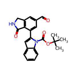 CC(C)(C)OC(=O)n1c(-c2cc(C=O)cc3c2C(=O)NC3)cc2ccccc21